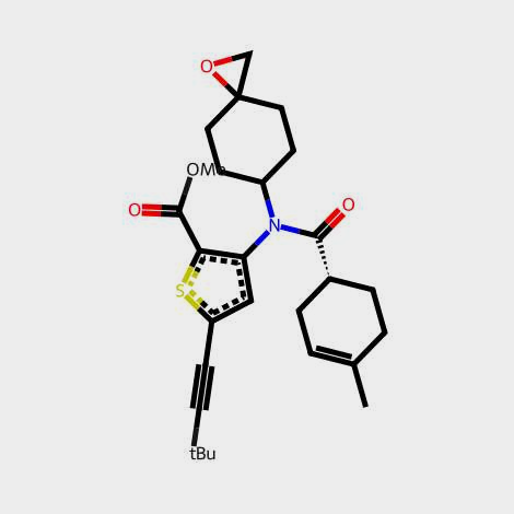 COC(=O)c1sc(C#CC(C)(C)C)cc1N(C(=O)[C@H]1CC=C(C)CC1)C1CCC2(CC1)CO2